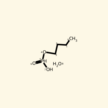 CCCCO[PH](=O)O.O